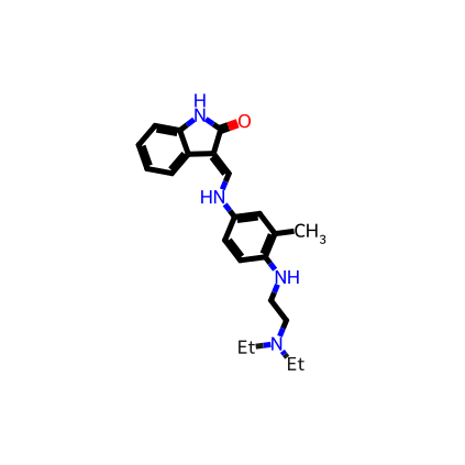 CCN(CC)CCNc1ccc(N/C=C2/C(=O)Nc3ccccc32)cc1C